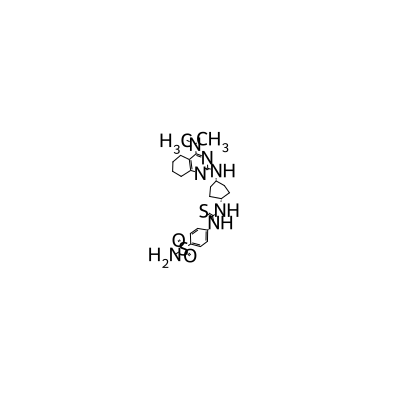 CN(C)c1nc(N[C@H]2CC[C@@H](NC(=S)Nc3ccc(S(N)(=O)=O)cc3)CC2)nc2c1CCCC2